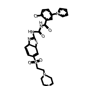 O=C(NC(=O)c1cc(-n2cccc2)ccc1Cl)NC1=NC2C=CC(S(=O)(=O)CCN3CCNCC3)=CC2S1